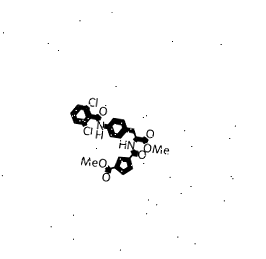 COC(=O)[C@@H]1CC[C@H](C(=O)N[C@@H](Cc2ccc(NC(=O)c3c(Cl)cccc3Cl)cc2)C(=O)OC)C1